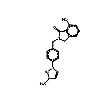 CC1C=CN(c2ccc(CN3Cc4cccc(O)c4C3=O)cc2)N1